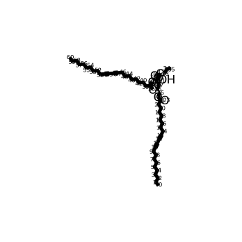 CCCCCCCCCCC#CC#CCCCCCCCCC(=O)OC[C@H](COP(=O)(O)OCCC)OC(=O)CCCCCCCCC#CC#CCCCCCCCCCC